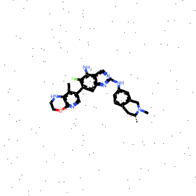 Cc1c(-c2cc3nc(Nc4ccc5c(c4)CN(C)[C@H](C)C5)ncc3c(N)c2F)cnc2c1NCCO2